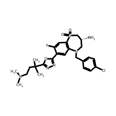 CN(C)CCC(C)(C)c1nnc(-c2cc3c(cc2F)S(=O)(=O)C[C@H](N)CN3Cc2ccc(Cl)cc2)o1